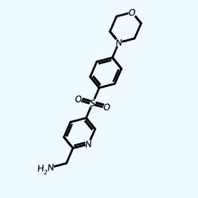 NCc1ccc(S(=O)(=O)c2ccc(N3CCOCC3)cc2)cn1